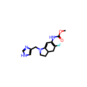 COC(=O)NC1=C(F)CC2CCN(Cc3c[nH]cn3)C2=C1